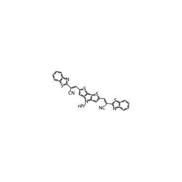 CCCn1c2cc(/C=C(\C#N)c3nc4ccccc4s3)sc2c2sc(/C=C(\C#N)c3nc4ccccc4s3)cc21